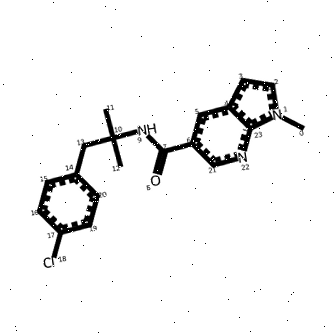 Cn1ccc2cc(C(=O)NC(C)(C)Cc3ccc(Cl)cc3)cnc21